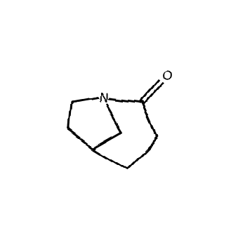 O=C1CCC2CCN1C2